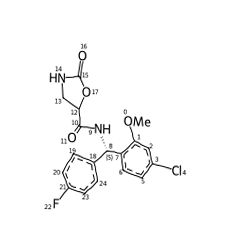 COc1cc(Cl)ccc1[C@@H](NC(=O)C1CNC(=O)O1)c1ccc(F)cc1